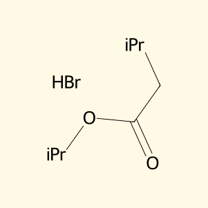 Br.CC(C)CC(=O)OC(C)C